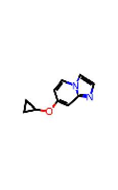 c1cn2ccc(OC3CC3)cc2n1